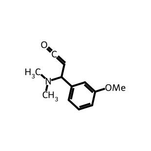 COc1cccc(C(C=C=O)N(C)C)c1